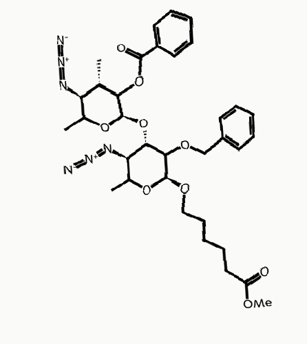 COC(=O)CCCCCO[C@H]1OC(C)[C@@H](N=[N+]=[N-])[C@H](O[C@H]2OC(C)[C@@H](N=[N+]=[N-])[C@H](C)C2OC(=O)c2ccccc2)C1OCc1ccccc1